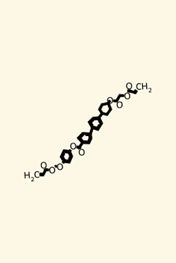 C=CC(=O)OCOc1ccc(OC(=O)c2ccc(-c3ccc(C4CCC(OC(=O)COC(=O)C=C)CC4)cc3)cc2)cc1